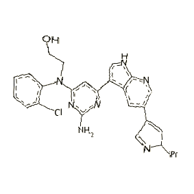 CC(C)C1C=C(c2cnc3[nH]cc(-c4cc(N(CCO)c5ccccc5Cl)nc(N)n4)c3c2)C=N1